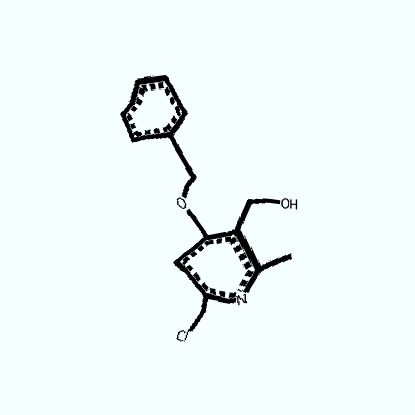 Cc1nc(Cl)cc(OCc2ccccc2)c1CO